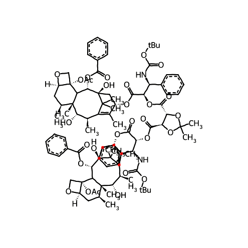 CC(=O)O[C@@]12CO[C@@H]1C[C@H](C)[C@]1(C)C2[C@H](OC(=O)c2ccccc2)[C@]2(O)C[C@H](OC(=O)[C@H](OC(=O)[C@@H]3OC(C)(C)O[C@H]3C(=O)O[C@@H](C(=O)O[C@H]3C[C@@]4(O)[C@@H](OC(=O)c5ccccc5)C5[C@@](C)([C@@H](C)C[C@H]6OC[C@@]56OC(C)=O)[C@@H](O)[C@H](C)C(=C3C)C4(C)C)[C@@H](NC(=O)OC(C)(C)C)c3ccccc3)[C@@H](NC(=O)OC(C)(C)C)c3ccccc3)C(C)=C([C@@H](C)[C@@H]1O)C2(C)C